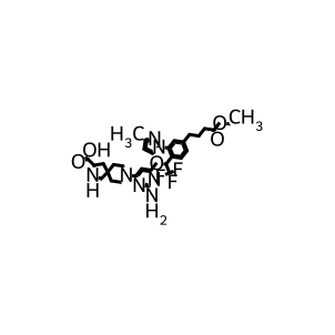 CCOC(=O)CCCc1ccc(C(Oc2cc(N3CCC4(CC3)CNC(C(=O)O)C4)nc(N)n2)C(F)(F)F)c(-n2ccc(C)n2)c1